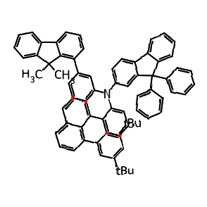 CC(C)(C)c1cc(-c2cccc3cccc(-c4ccccc4N(c4cccc(-c5cccc6c5C(C)(C)c5ccccc5-6)c4)c4ccc5c(c4)C(c4ccccc4)(c4ccccc4)c4ccccc4-5)c23)cc(C(C)(C)C)c1